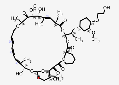 CO[C@@H]1C[C@H](C[C@@H](C)[C@@H]2CC(=O)[C@H](C)/C=C(\C)[C@@H](O)[C@@H](OC)C(=O)[C@H](C)CC/C=C/C=C/C=C(\C)[C@@H](O)C[C@@H]3CC[C@@H](C)[C@@](OC)(O3)C(=O)C(=O)N3CCCC[C@H]3C(=O)O2)CC[C@H]1OCCO